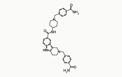 NC(=O)c1ccc(CN2CCC(NC(=O)c3ccc4[nH]c5c(c4c3)CN(Cc3ccc(C(N)=O)cc3)CC5)CC2)cc1